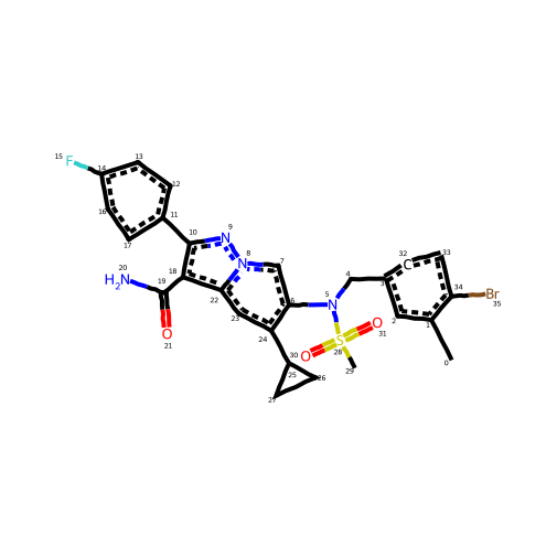 Cc1cc(CN(c2cn3nc(-c4ccc(F)cc4)c(C(N)=O)c3cc2C2CC2)S(C)(=O)=O)ccc1Br